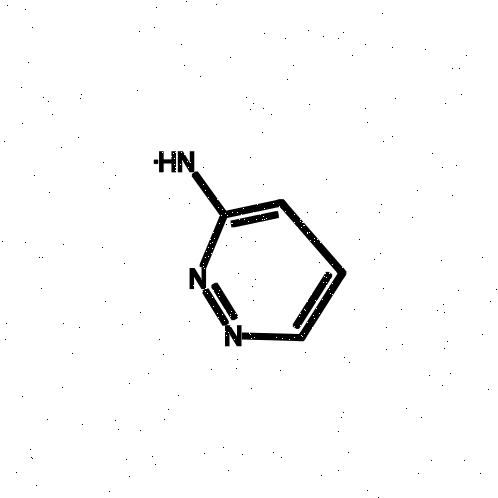 [NH]c1cccnn1